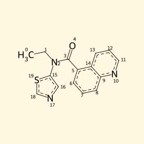 CCN(C(=O)c1cccc2ncccc12)c1cncs1